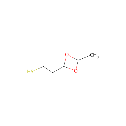 CC1OC(CCS)O1